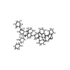 c1ccc(-c2ccc(N(c3ccc(-c4ccccc4)cc3)c3ccc(-c4ccc5c(c4)-c4ccccc4C54c5ccccc5-c5c4ccc4oc6ccccc6c54)c4ccccc34)cc2)cc1